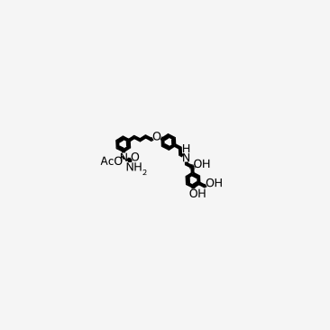 CC(=O)ON(C(N)=O)c1cccc(CCCCOc2ccc(CCNC[C@@H](O)c3ccc(O)c(CO)c3)cc2)c1